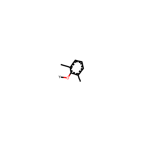 Cc1cccc(C)c1[O][Y]